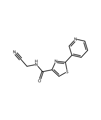 N#CCNC(=O)c1csc(-c2cccnc2)n1